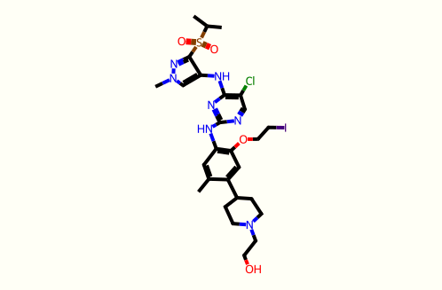 Cc1cc(Nc2ncc(Cl)c(Nc3cn(C)nc3S(=O)(=O)C(C)C)n2)c(OCCI)cc1C1CCN(CCO)CC1